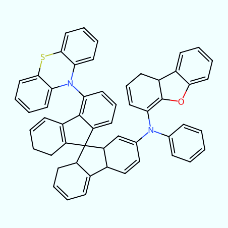 C1=CCC2C(=C1)C1C=CC(N(C3=C4Oc5ccccc5C4CC=C3)c3ccccc3)=CC1C21C2=C(C=CCC2)c2c(N3c4ccccc4Sc4ccccc43)cccc21